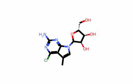 Cc1cn(C2O[C@H](CO)[C@@H](O)[C@H]2O)c2nc(N)nc(Cl)c12